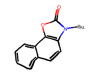 CCC(C)n1c(=O)oc2c3ccccc3ccc21